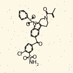 C=C(C)C(=O)N1CCc2c(n(S(=O)(=O)c3ccccc3)c3ccc(C(=O)c4ccc(Cl)c(S(N)(=O)=O)c4)cc23)C1